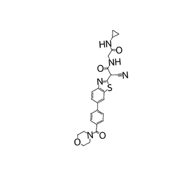 N#CC(C(=O)NCC(=O)NC1CC1)c1nc2ccc(-c3ccc(C(=O)N4CCOCC4)cc3)cc2s1